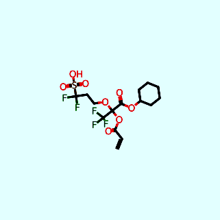 C=CC(=O)OC(OCCC(F)(F)S(=O)(=O)O)(C(=O)OC1CCCCC1)C(F)(F)F